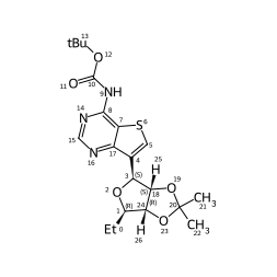 CC[C@H]1O[C@@H](c2csc3c(NC(=O)OC(C)(C)C)ncnc23)[C@@H]2OC(C)(C)O[C@@H]21